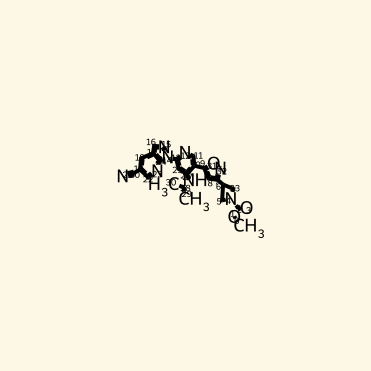 COC(=O)N1CC(c2cc(-c3cnc(-n4ncc5cc(C#N)cnc54)cc3NC(C)C)on2)C1